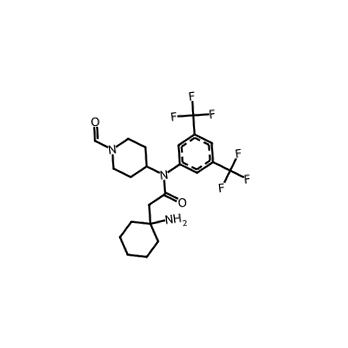 NC1(CC(=O)N(c2cc(C(F)(F)F)cc(C(F)(F)F)c2)C2CCN(C=O)CC2)CCCCC1